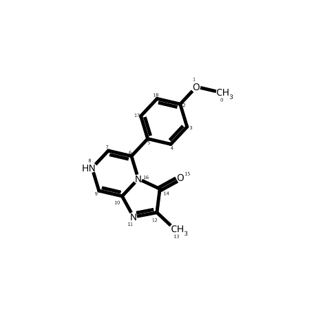 COc1ccc(-c2c[nH]cc3nc(C)c(=O)n2-3)cc1